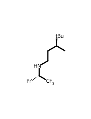 CC(C)[C@H](NCC[C@H](C)C(C)(C)C)C(F)(F)F